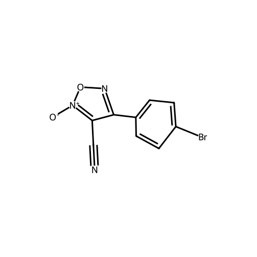 N#Cc1c(-c2ccc(Br)cc2)no[n+]1[O-]